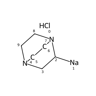 Cl.[Na][CH]1CN2CCN1CC2